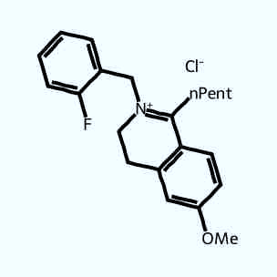 CCCCCC1=[N+](Cc2ccccc2F)CCc2cc(OC)ccc21.[Cl-]